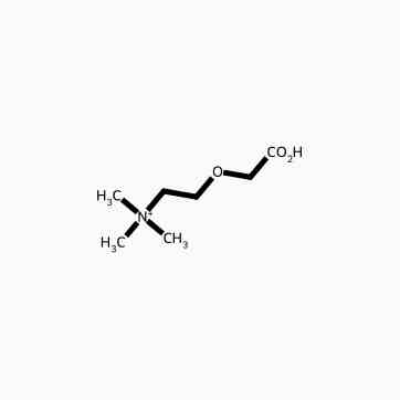 C[N+](C)(C)CCOCC(=O)O